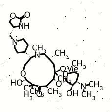 CO[C@]1(C)C[C@@H](C)CN(C)[C@@H](C2CCN(C[C@@H]3COC(=O)N3)CC2)CO[C@@H](O)C(C)(C)C(=O)[C@H](C)[C@H]1O[C@@H]1O[C@H](C)C[C@H](N(C)C)[C@H]1O